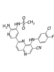 CS(=O)(=O)Nc1cc(-c2ccc3ncc(C#N)c(Nc4ccc(F)c(Cl)c4)c3n2)cnc1N